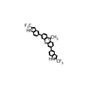 CN1c2ccc(-c3ccc4[nH]c(C(F)(F)F)cc4c3)cc2Sc2cc(-c3ccc4[nH]c(C(F)(F)F)cc4c3)ccc21